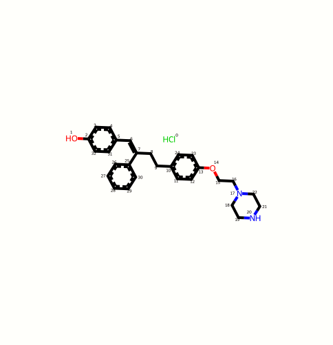 Cl.Oc1ccc(C=C(CCc2ccc(OCCN3CCNCC3)cc2)c2ccccc2)cc1